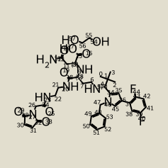 CC(C)(C)[C@@H](NCC[C@H](N[C@@H](CC(N)=O)C(=O)O)C(=O)NCCNC(=O)CN1C(=O)C=CC1=O)c1cc(-c2cc(F)ccc2F)cn1Cc1ccccc1.OCCO